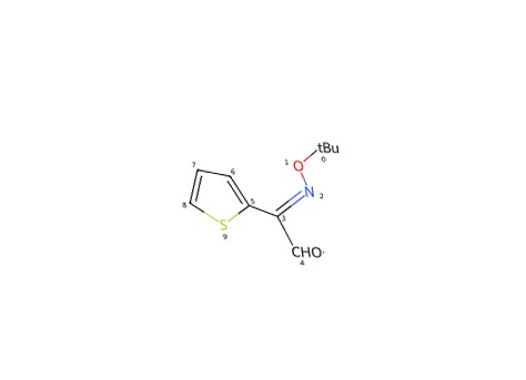 CC(C)(C)O/N=C(/[C]=O)c1cccs1